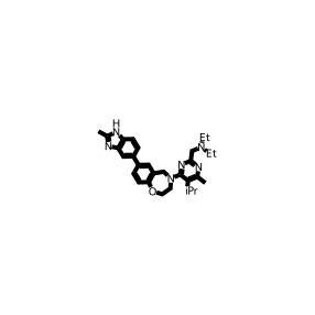 CCN(CC)Cc1nc(C)c(C(C)C)c(N2CCOc3ccc(-c4ccc5[nH]c(C)nc5c4)cc3C2)n1